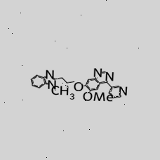 COc1cc2c(-c3cccnc3)ncnc2cc1OCCCc1nc2ccccc2n1C